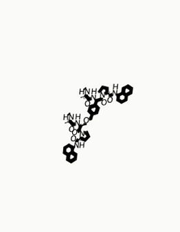 CN[C@@H](C)C(=O)N[C@@H](COCc1ccc([C@H](NC(=O)[C@H](C)NC)C(=O)N2CCC[C@H]2C(=O)N[C@@H]2CCCc3ccccc32)cc1)C(=O)N1CCC[C@H]1C(=O)N[C@@H]1CCCc2ccccc21